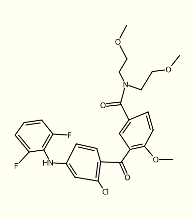 COCCN(CCOC)C(=O)c1ccc(OC)c(C(=O)c2ccc(Nc3c(F)cccc3F)cc2Cl)c1